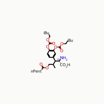 CCCCCC(=O)OCC(C)C(c1ccc(OC(=O)OCC(C)CC)c(OC(=O)OCC(C)CC)c1)[C@H](N)C(=O)O